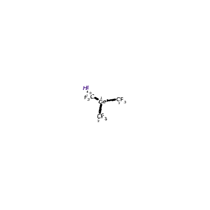 F[C](F)(F)[Ge]([C](F)(F)F)[C](F)(F)F.I